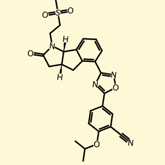 CC(C)Oc1ccc(-c2nc(-c3cccc4c3C[C@@H]3CC(=O)N(CCS(C)(=O)=O)[C@H]43)no2)cc1C#N